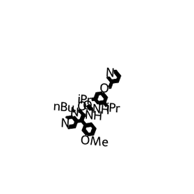 CCCCn1c(=O)c(NC(=O)Nc2c(C(C)C)cc(OCc3cccnc3)cc2C(C)C)c(-c2cccc(OC)c2)c2ccncc21